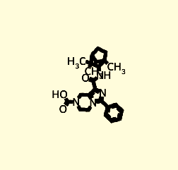 CC12CCC(C1)C(C)(C)C2NC(=O)c1nc(-c2ccccc2)n2c1CN(C(=O)O)CC2